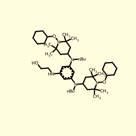 CCCCN(c1cc(NCCO)cc(N(CCCC)C2CC(C)(C)N(OC3CCCCC3)C(C)(C)C2)c1)C1CC(C)(C)N(OC2CCCCC2)C(C)(C)C1